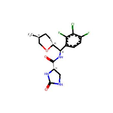 O=C1NC[C@@H](C(=O)N[C@H](c2ccc(F)c(Cl)c2F)[C@H]2CC[C@H](C(F)(F)F)CO2)N1